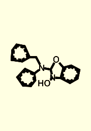 ON1c2ccccc2OC1N(Cc1ccccc1)c1ccccc1